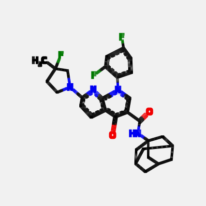 CC1(F)CCN(c2ccc3c(=O)c(C(=O)NC45CC6CC(CC(C6)C4)C5)cn(-c4ccc(F)cc4F)c3n2)C1